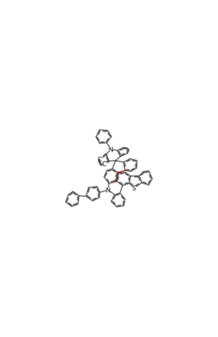 c1ccc(-c2ccc(N(c3ccc4c(c3)-c3ccccc3C43c4ccccc4N(c4ccccc4)c4ccccc43)c3ccccc3-c3cccc4c3sc3ccccc34)cc2)cc1